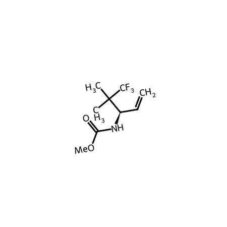 C=C[C@@H](NC(=O)OC)C(C)(C)C(F)(F)F